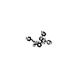 O=C(NCCc1ccncc1)c1cccc(-c2nc(N3CCOCC3)nc3c2CCN3c2cccnc2)c1